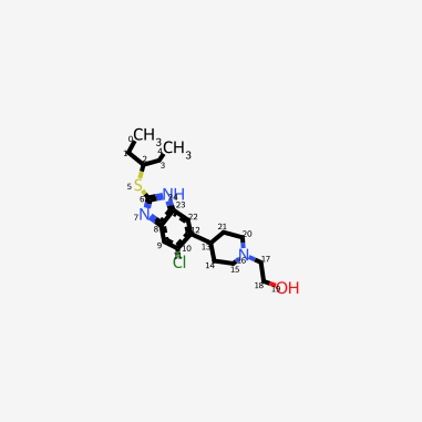 CCC(CC)Sc1nc2cc(Cl)c(C3CCN(CCO)CC3)cc2[nH]1